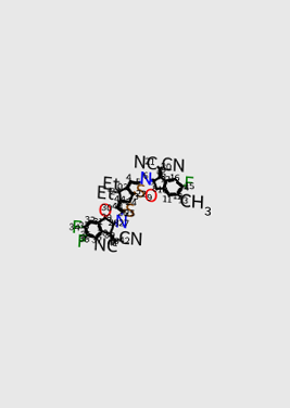 CCC1(CC)c2cc(/N=C3\C(=O)c4cc(C)c(F)cc4C3=C(C#N)C#N)sc2-c2sc(/N=C3\C(=O)c4cc(F)c(F)cc4C3=C(C#N)C#N)cc21